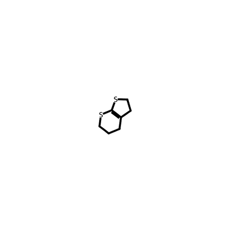 C1CSC2=C(C1)CCS2